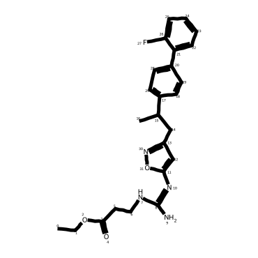 CCOC(=O)CCNC(N)=Nc1cc(CC(C)c2ccc(-c3ccccc3F)cc2)no1